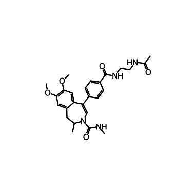 CNC(=O)N1C=C(c2ccc(C(=O)NCCNC(C)=O)cc2)c2cc(OC)c(OC)cc2CC1C